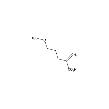 C=C(CCCOC(C)(C)C)C(=O)O